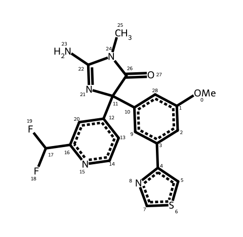 COc1cc(-c2cscn2)cc(C2(c3ccnc(C(F)F)c3)N=C(N)N(C)C2=O)c1